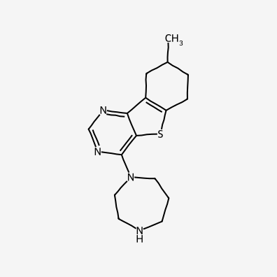 CC1CCc2sc3c(N4CCCNCC4)ncnc3c2C1